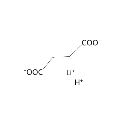 O=C([O-])CCC(=O)[O-].[H+].[Li+]